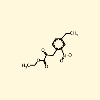 CCOC(=O)C(=O)Cc1ccc(CC)cc1[N+](=O)[O-]